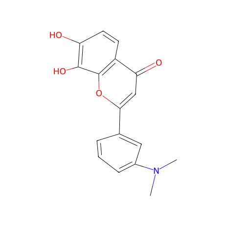 CN(C)c1cccc(-c2cc(=O)c3ccc(O)c(O)c3o2)c1